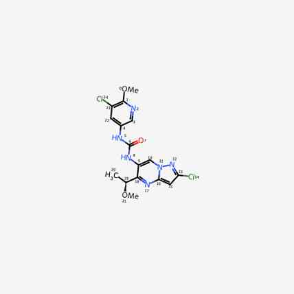 COc1ncc(NC(=O)Nc2cn3nc(Cl)cc3nc2[C@H](C)OC)cc1Cl